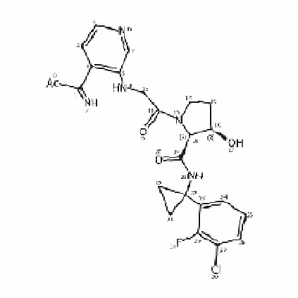 CC(=O)C(=N)c1ccncc1NCC(=O)N1CC[C@@H](O)[C@H]1C(=O)NC1(c2cccc(Cl)c2F)CC1